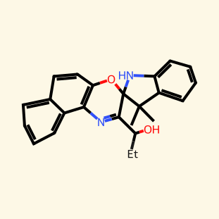 CCC(O)C1=Nc2c(ccc3ccccc23)OC12Nc1ccccc1C2(C)C